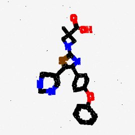 CC1(C(=O)O)CN(c2nc(-c3ccc(Oc4ccccc4)cc3)c(-c3cncnc3)s2)C1